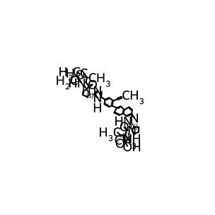 C=C(NC(C(=O)N1CCC[C@H]1c1ncc(-c2ccc(-c3ccc4c(ccc5nc([C@@H]6CCCN6C(=O)[C@@H](NC(=O)O)C(C)C)[nH]c54)c3)c(C#CC)c2)[nH]1)C(C)C)OC